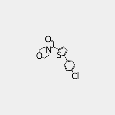 O=C[C@@H](c1ccc(-c2ccc(Cl)cc2)s1)N1CCOCC1